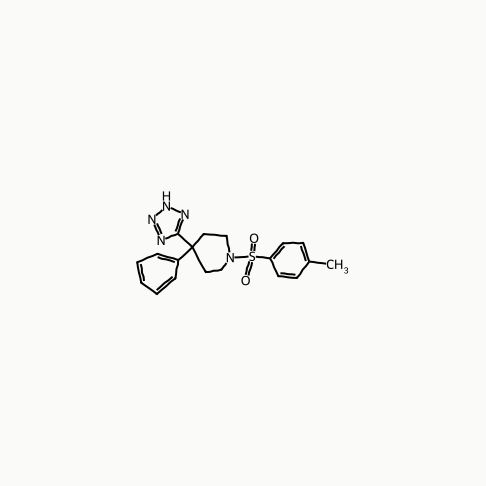 Cc1ccc(S(=O)(=O)N2CCC(c3ccccc3)(c3nn[nH]n3)CC2)cc1